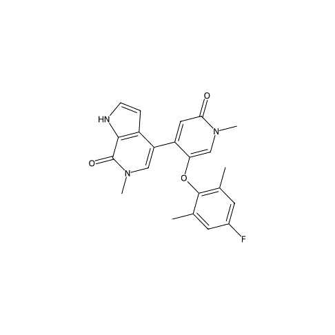 Cc1cc(F)cc(C)c1Oc1cn(C)c(=O)cc1-c1cn(C)c(=O)c2[nH]ccc12